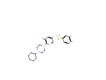 N#Cc1cc(NS(=O)(=O)c2ccc(F)c(Cl)c2)cnc1N1CCN(C2CCCCC2)CC1